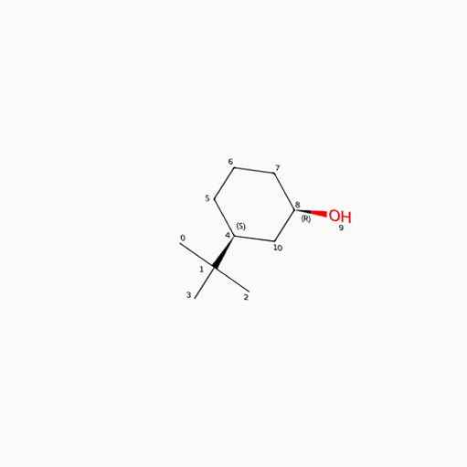 CC(C)(C)[C@H]1CCC[C@@H](O)C1